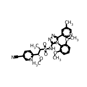 COc1cccc(OC)c1-n1c(NS(=O)(=O)[C@H](C)[C@H](OC)c2ccc(C#N)cn2)nnc1-c1cncc(C)c1